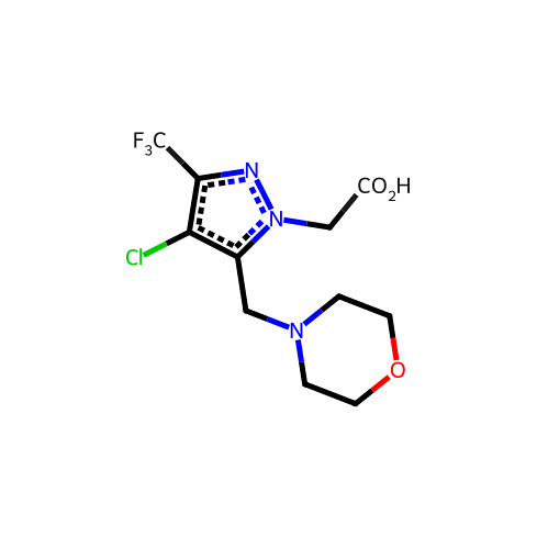 O=C(O)Cn1nc(C(F)(F)F)c(Cl)c1CN1CCOCC1